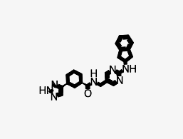 O=C(NCc1cnc(NC2Cc3ccccc3C2)nc1)[C@@H]1CCC[C@H](c2cn[nH]n2)C1